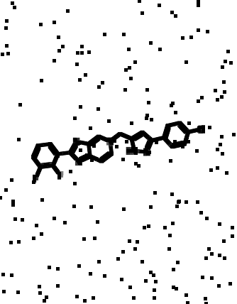 Fc1cccc(-c2nc3ccn(Cc4cc(-c5ccc(Cl)cc5)n[nH]4)cc-3n2)c1F